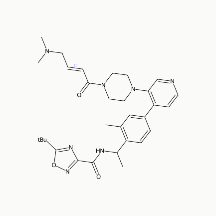 Cc1cc(-c2ccncc2N2CCN(C(=O)/C=C/CN(C)C)CC2)ccc1C(C)NC(=O)c1noc(C(C)(C)C)n1